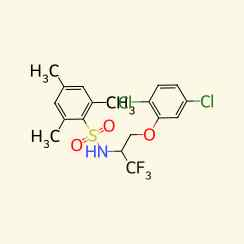 Cc1cc(C)c(S(=O)(=O)NC(COc2cc(Cl)ccc2Cl)C(F)(F)F)c(C)c1